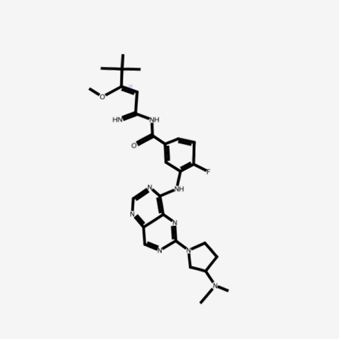 CO/C(=C\C(=N)NC(=O)c1ccc(F)c(Nc2ncnc3cnc(N4CCC(N(C)C)C4)nc23)c1)C(C)(C)C